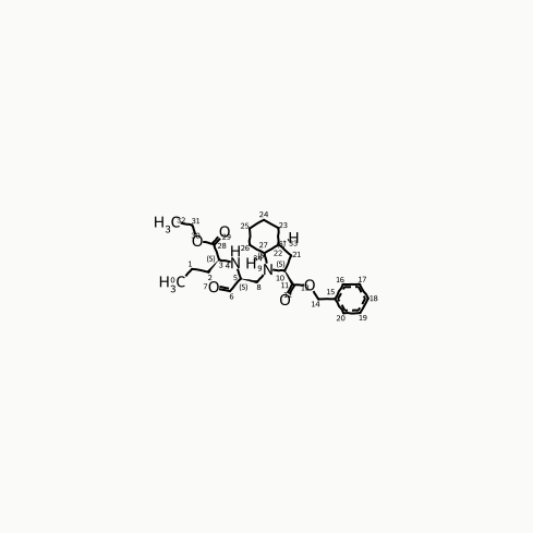 CCC[C@H](N[C@H](C=O)CN1[C@H](C(=O)OCc2ccccc2)C[C@@H]2CCCC[C@@H]21)C(=O)OCC